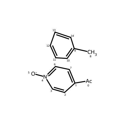 CC(=O)c1cc[n+]([O-])cc1.Cc1ccccc1